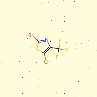 FC(F)(F)c1nc(Br)sc1Cl